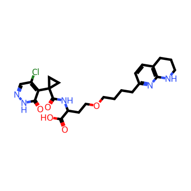 O=C(O)C(CCOCCCCc1ccc2c(n1)NCCC2)NC(=O)C1(c2c(Cl)cn[nH]c2=O)CC1